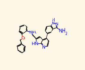 Nc1n[nH]c2ccc(-c3ccnc4[nH]c(CNc5ccccc5OCc5ccccc5)cc34)cc12